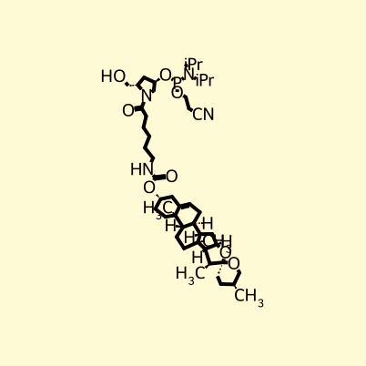 CC(C)N(C(C)C)P(OCCC#N)O[C@@H]1C[C@@H](CO)N(C(=O)CCCCCNC(=O)O[C@H]2CC[C@@]3(C)C(=CC[C@H]4[C@@H]5C[C@@H]6O[C@]7(CC[C@@H](C)CO7)[C@@H](C)[C@@H]6[C@@]5(C)CC[C@@H]43)C2)C1